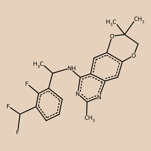 Cc1nc(NC(C)c2cccc(C(F)F)c2F)c2cc3c(cc2n1)OCC(C)(C)O3